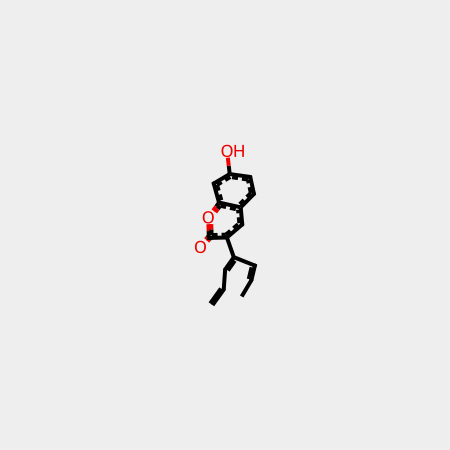 C=C/C=C(\C=C/C)c1cc2ccc(O)cc2oc1=O